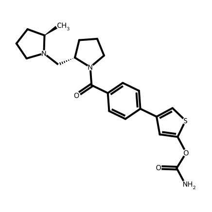 C[C@@H]1CCCN1C[C@@H]1CCCN1C(=O)c1ccc(-c2csc(OC(N)=O)c2)cc1